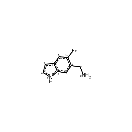 NCc1cc2[nH]ccc2cc1F